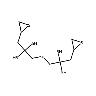 SC(S)(CSCC(S)(S)CC1CS1)CC1CS1